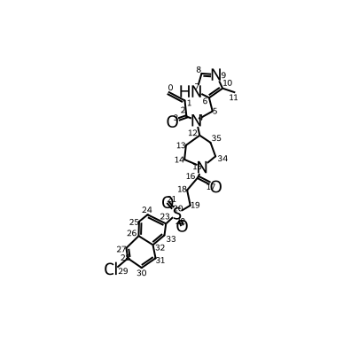 C=CC(=O)N(Cc1[nH]cnc1C)C1CCN(C(=O)CCS(=O)(=O)c2ccc3cc(Cl)ccc3c2)CC1